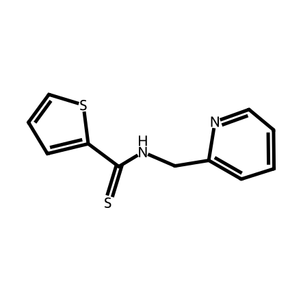 S=C(NCc1ccccn1)c1cccs1